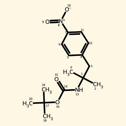 CC(C)(Cc1ccc([N+](=O)[O-])cc1)NC(=O)OC(C)(C)C